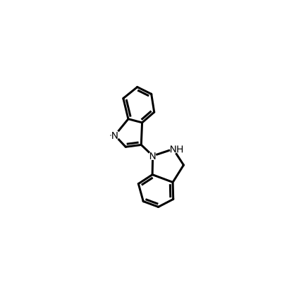 C1=C(N2NCc3ccccc32)c2ccccc2[N]1